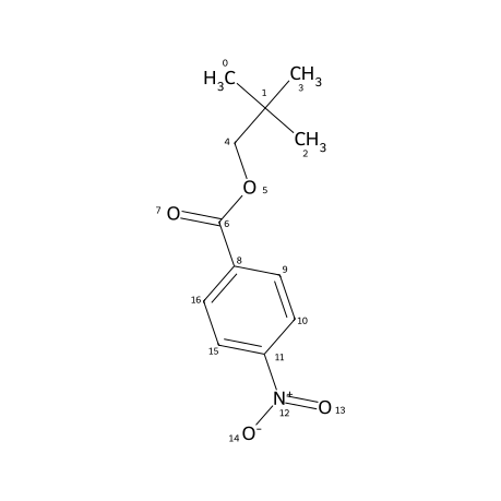 CC(C)(C)COC(=O)c1ccc([N+](=O)[O-])cc1